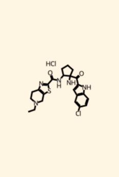 CCN1CCc2nc(C(=O)NC3CCCC3(N)C(=O)c3cc4cc(Cl)ccc4[nH]3)sc2C1.Cl